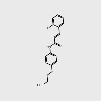 O=CCCCc1ccc(NC(=O)/C=C/c2ccccc2F)cc1